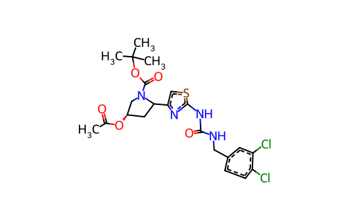 CC(=O)O[C@@H]1CC(c2csc(NC(=O)NCc3ccc(Cl)c(Cl)c3)n2)N(C(=O)OC(C)(C)C)C1